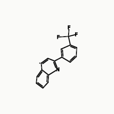 FC(F)(F)c1cccc(-c2c[c]c3ccccc3n2)c1